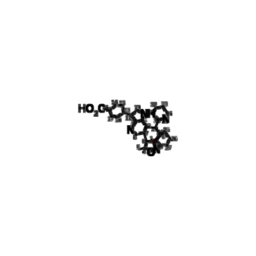 Cc1noc(C)c1-c1cnc2c(-c3ccc(C(=O)O)cc3)c[nH]c2c1C(c1ccccc1)c1ccccn1